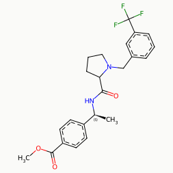 COC(=O)c1ccc([C@H](C)NC(=O)C2CCCN2Cc2cccc(C(F)(F)F)c2)cc1